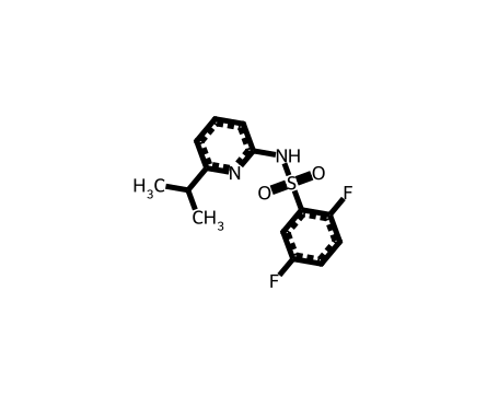 CC(C)c1cccc(NS(=O)(=O)c2cc(F)ccc2F)n1